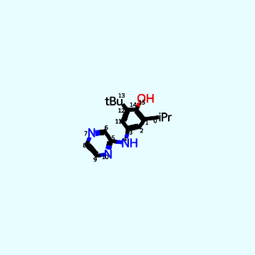 CC(C)c1cc(Nc2cnccn2)cc(C(C)(C)C)c1O